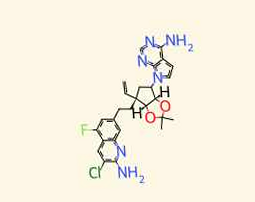 C=C[C@]1(CCc2cc(F)c3cc(Cl)c(N)nc3c2)C[C@@H](n2ccc3c(N)ncnc32)[C@@H]2OC(C)(C)O[C@@H]21